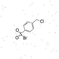 O=S(=O)(Br)c1ccc(CCl)cc1